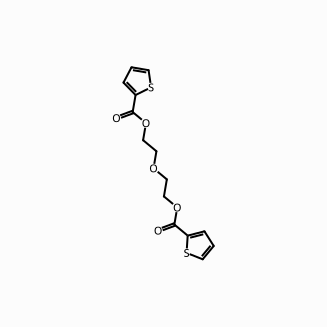 O=C(OCCOCCOC(=O)c1cccs1)c1cccs1